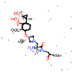 CNC(=O)CNC(=O)[C@](C)(N)CN1CC(Oc2ccc3c(c2C(=O)[O-])O[B-](O)(O)[C@H]2C[C@@H]32)C1.[Na+].[Na+]